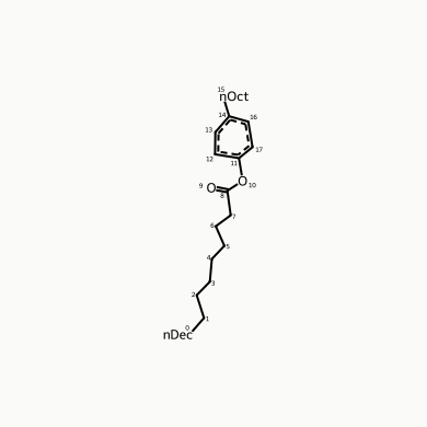 CCCCCCCCCCCCCCCCCC(=O)Oc1ccc(CCCCCCCC)cc1